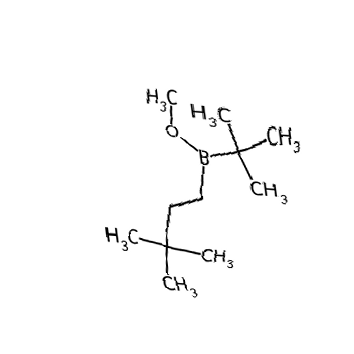 COB(CCC(C)(C)C)C(C)(C)C